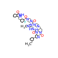 CCc1cccc(-c2cnc(C(=O)N3CCC(CN4CCN(CC(=O)N5CCN(C(=O)c6cc(Cc7n[nH]c(=O)c8ccccc78)ccc6F)CC5)CC4)CC3)c(NC(=O)CNCc3cn(C)cn3)c2)c1